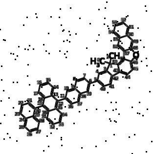 CC1(C)c2cc(-c3ccc4cc(-c5c6ccccc6c(-c6cccc7ccccc67)c6ccccc56)ccc4c3)ccc2-c2ccc3oc4cc5ccccc5cc4c3c21